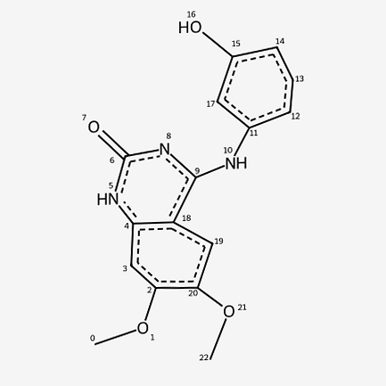 COc1cc2[nH]c(=O)nc(Nc3cccc(O)c3)c2cc1OC